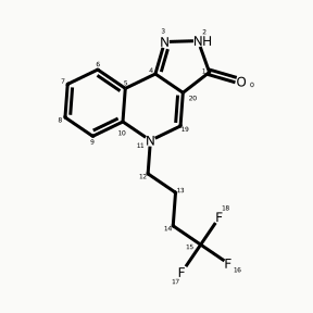 O=c1[nH]nc2c3ccccc3n(CCCC(F)(F)F)cc1-2